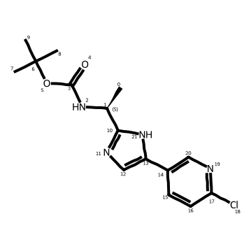 C[C@H](NC(=O)OC(C)(C)C)c1ncc(-c2ccc(Cl)nc2)[nH]1